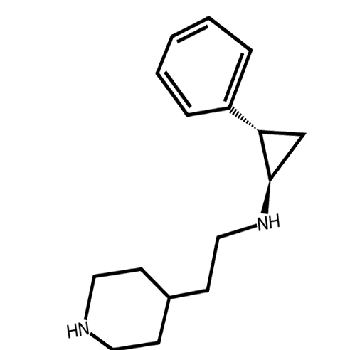 c1ccc([C@@H]2C[C@H]2NCCC2CCNCC2)cc1